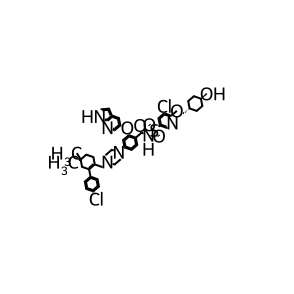 CC1(C)CCC(CN2CCN(c3ccc(C(=O)NS(=O)(=O)c4cnc(OC[C@H]5CC[C@H](O)CC5)c(Cl)c4)c(Oc4cnc5[nH]ccc5c4)c3)CC2)=C(c2ccc(Cl)cc2)C1